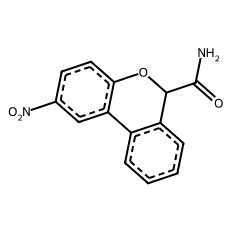 NC(=O)C1Oc2ccc([N+](=O)[O-])cc2-c2ccccc21